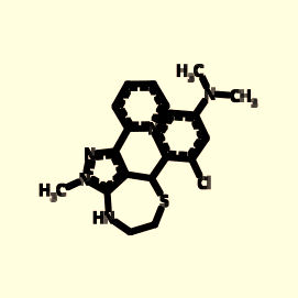 CN(C)c1ccc(C2SCCNc3c2c(-c2ccccn2)nn3C)c(Cl)c1